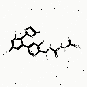 Cc1cnc(-c2c(F)cc(Cl)cc2-c2cnc([C@@H](C)NC(=O)NNC(=O)C(F)(F)F)c(F)c2)s1